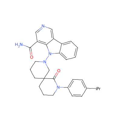 CC(C)c1ccc(N2CCCC3(CCCN(n4c5ccccc5c5cncc(C(N)=O)c54)C3)C2=O)cc1